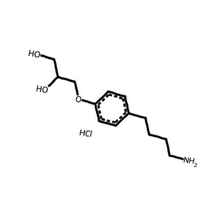 Cl.NCCCCc1ccc(OCC(O)CO)cc1